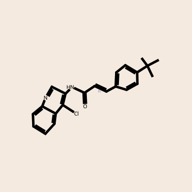 CC(C)(C)c1ccc(/C=C/C(=O)Nc2cnc3ccccc3c2Cl)cc1